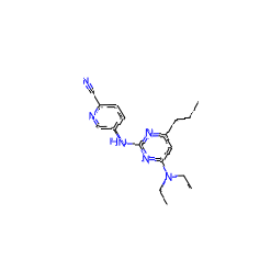 CCCc1cc(N(CC)CC)nc(Nc2ccc(C#N)nc2)n1